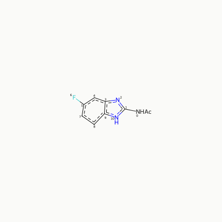 CC(=O)Nc1nc2cc(F)ccc2[nH]1